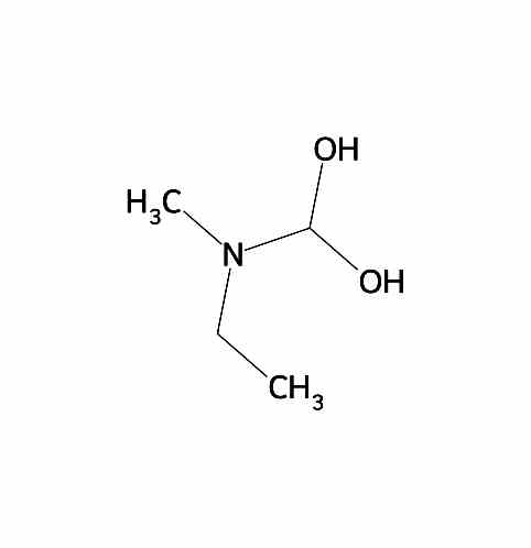 CCN(C)C(O)O